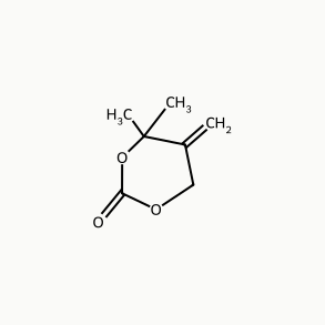 C=C1COC(=O)OC1(C)C